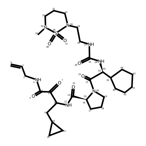 C=CCNC(=O)C(=O)C(CC1CC1)NC(=O)[C@@H]1CCCN1C(=O)[C@@H](NC(=O)NCCN1CCCN(C)S1(=O)=O)C1CCCCC1